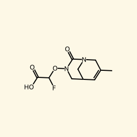 CC1=CC2CN(C1)C(=O)N(OC(F)C(=O)O)C2